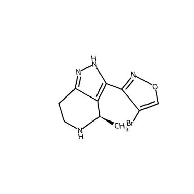 C[C@H]1NCCc2n[nH]c(-c3nocc3Br)c21